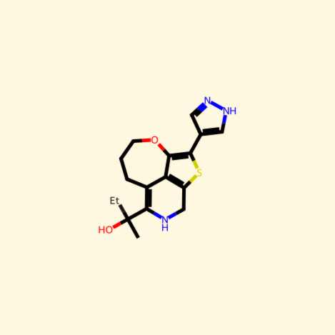 CCC(C)(O)C1=C2CCCOc3c(-c4cn[nH]c4)sc(c32)CN1